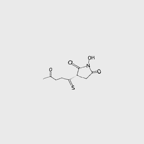 CC(=O)CCC(=S)[C@H]1CC(=O)N(O)C1=O